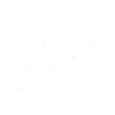 CCCC(=O)c1c(O)c(CC2=C(O)C(C)(C)C(O)=C(C(C)=O)C2=O)c(O)c(CC2=C(O)C(C)(C)C(O)=C(C(C)=O)C2=O)c1O